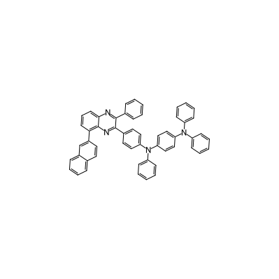 c1ccc(-c2nc3cccc(-c4ccc5ccccc5c4)c3nc2-c2ccc(N(c3ccccc3)c3ccc(N(c4ccccc4)c4ccccc4)cc3)cc2)cc1